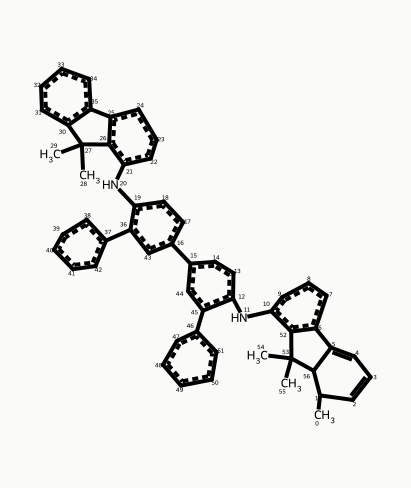 CC1C=CC=C2c3cccc(Nc4ccc(-c5ccc(Nc6cccc7c6C(C)(C)c6ccccc6-7)c(-c6ccccc6)c5)cc4-c4ccccc4)c3C(C)(C)C21